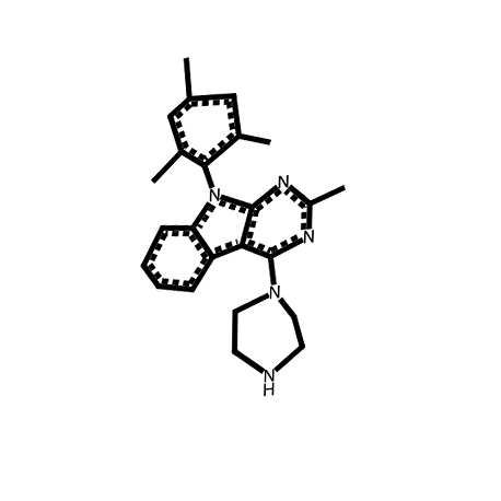 Cc1cc(C)c(-n2c3ccccc3c3c(N4CCNCC4)nc(C)nc32)c(C)c1